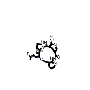 C=C1/C(=C\C=C(/C)F)OCc2cccnc2NC(=O)c2cnc(N)c(c2)C(=N)N2CCC[C@H]12